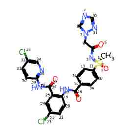 CS(=O)(=NC(=O)Cn1cncn1)c1ccc(C(=O)Nc2ccc(Cl)cc2C(=O)Nc2ccc(Cl)cn2)cc1